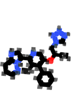 CC(Cn1cnnn1)Oc1cnc(-c2cnc3cccnn23)c(C#N)c1-c1ccccc1